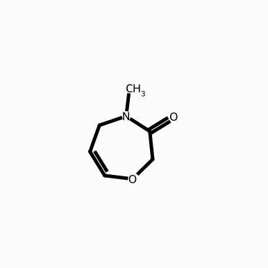 CN1CC=COCC1=O